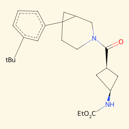 CCOC(=O)N[C@H]1C[C@@H](C(=O)N2CCC3(c4cccc(C(C)(C)C)c4)CC3C2)C1